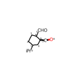 CC(C)C1CCC(C=O)C(=C=O)C1